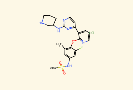 CCCCS(=O)(=O)Nc1cc(C)c(Oc2ncccc2-c2ccnc(NC3CCCNC3)n2)c(F)c1.Cl